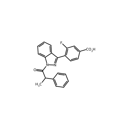 CC(C(=O)n1nc(-c2ccc(C(=O)O)cc2F)c2ccccc21)c1ccccc1